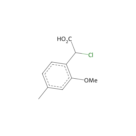 COc1cc(C)ccc1C(Cl)C(=O)O